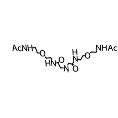 CC(=O)NCCOCCNC(=O)CN(C)CC(=O)NCCOCCNC(C)=O